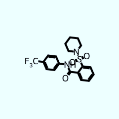 O=C(Nc1ccc(C(F)(F)F)cc1)c1ccccc1S(=O)(=O)N1CCCCC1